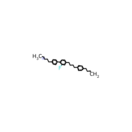 C=CCCc1ccc(CCCCc2ccc(-c3ccc(CC/C=C/C)cc3)c(F)c2)cc1